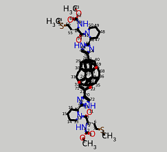 COC(=O)N[C@@H](CCSC)C(=O)N1CCCC[C@H]1c1nc(-c2ccc(-c3cc4ccc3CCc3ccc(c(-c5ccc(-c6c[nH]c([C@@H]7CCCCN7C(=O)[C@H](CCSC)NC(=O)OC)n6)cc5)c3)CC4)cc2)c[nH]1